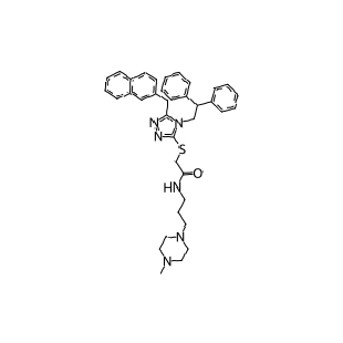 CN1CCN(CCCNC(=O)CSc2nnc(Cc3ccc4ccccc4c3)n2CC(c2ccccc2)c2ccccc2)CC1